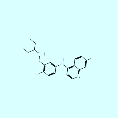 CCC(CC)NCc1cc(Nc2ccnc3cc(Cl)ccc23)ccc1O